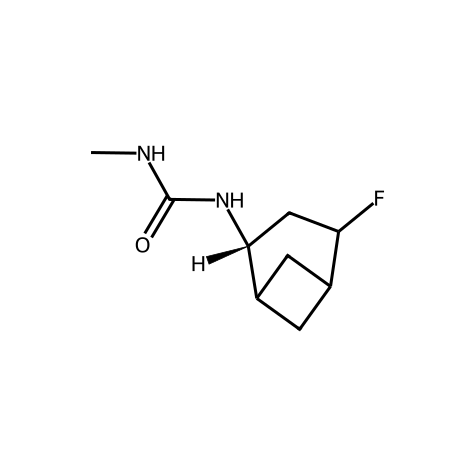 CNC(=O)N[C@@H]1CC(F)C2CC1C2